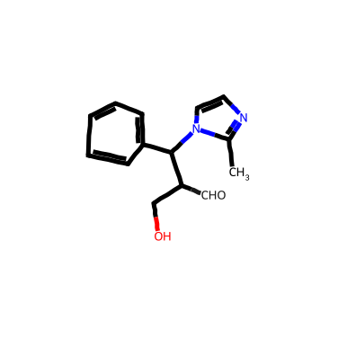 Cc1nccn1C(c1ccccc1)C(C=O)CO